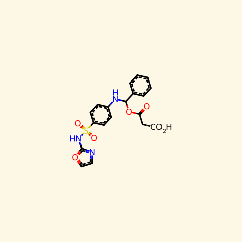 O=C(O)CC(=O)OC(Nc1ccc(S(=O)(=O)Nc2ncco2)cc1)c1ccccc1